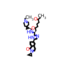 CCC(=O)CCCCC[C@H](NC(=O)[C@H]1CC12CCN(CC)CC2)c1ncc(-c2ccc3c(=O)n(C4CC4)ccc3c2)[nH]1